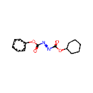 O=C(/N=N/C(=O)OC1CCCCC1)Oc1ccccc1